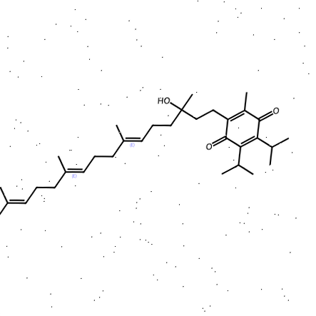 CC(C)=CCC/C(C)=C/CC/C(C)=C/CCC(C)(O)CCC1=C(C)C(=O)C(C(C)C)=C(C(C)C)C1=O